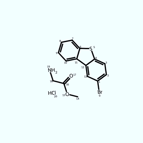 Brc1ccc2sc3ccccc3c2c1.COC(=O)CN.Cl